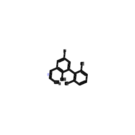 C/C=C\c1cc(F)cc(-c2c(Cl)cccc2Cl)c1O